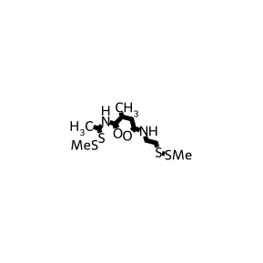 CSSCCNC(=O)CC(C)C(=O)NC(C)SSC